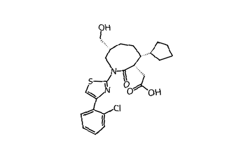 O=C(O)C[C@@H]1C(=O)N(c2nc(-c3ccccc3Cl)cs2)C[C@H](CO)CC[C@@H]1C1CCCC1